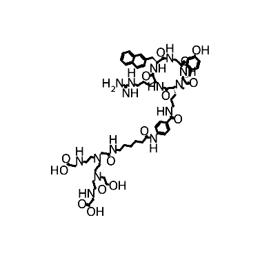 CN1[C@H](CCCNC(=O)c2ccc(NC(=O)CCCCCNC(=O)CN(CCNCC(=O)O)CCN(CCNCC(=O)O)CC(=O)O)cc2)C(=O)N[C@@H](CCCNC(=N)N)C(=O)N[C@@H](Cc2ccc3ccccc3c2)C(=O)NCC(=O)N[C@]1(C=O)Cc1ccc(O)cc1